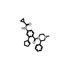 CN1CCN(C(=O)c2ccc(NC(=O)C3CC3)cc2C2=CCCC2)C(c2ccccc2)C1